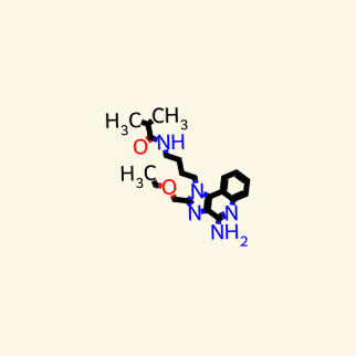 CCOCc1nc2c(N)nc3ccccc3c2n1CCCCNC(=O)C(C)C